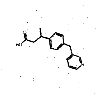 CC(CC(=O)O)c1ccc(Cc2cccnc2)cc1